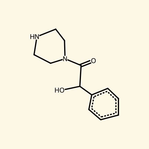 O=C(C(O)c1ccccc1)N1CCNCC1